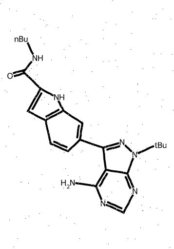 CCCCNC(=O)c1cc2ccc(-c3nn(C(C)(C)C)c4ncnc(N)c34)cc2[nH]1